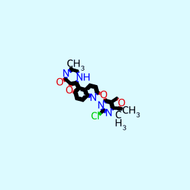 CC1=NC(=O)c2oc3ccc4nc(Oc5nc(Cl)nc6c5COC6(C)C)ccc4c3c2NC1